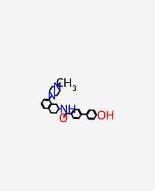 CN1CCN(c2cccc3c2CC(NC(=O)c2ccc(-c4ccc(O)cc4)cc2)CC3)CC1